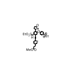 CCOC(=O)Nc1cc(C2CCC(=O)N2C)c(Oc2ccc(S(=O)(=O)CC)cc2)cc1C#Cc1ccc(CCC(=O)OC)cn1